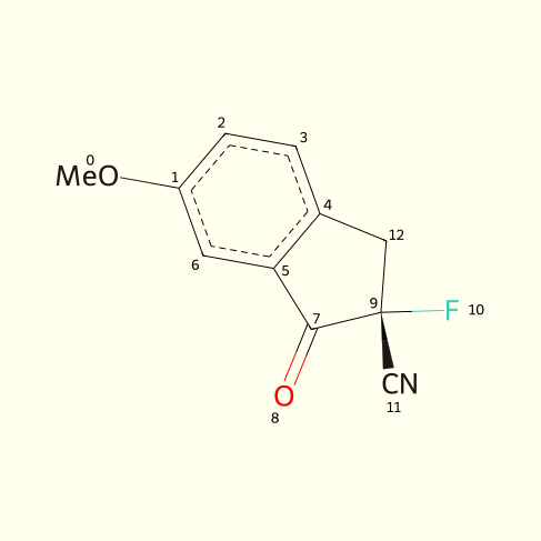 COc1ccc2c(c1)C(=O)[C@](F)(C#N)C2